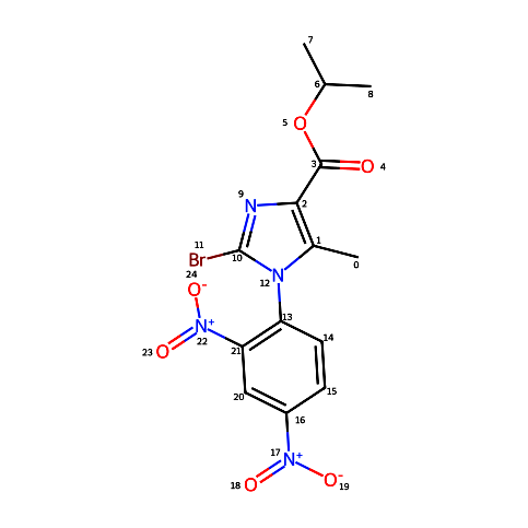 Cc1c(C(=O)OC(C)C)nc(Br)n1-c1ccc([N+](=O)[O-])cc1[N+](=O)[O-]